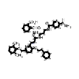 Cc1cccc(C)c1SCc1ccc(OCCc2ccccc2)c(/C=C/C(=NN)NCCCNC(=O)c2ccc(NN)nc2)n1.O=Cc1ccccc1S(=O)(=O)O